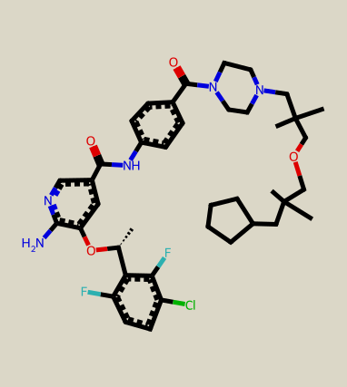 C[C@@H](Oc1cc(C(=O)Nc2ccc(C(=O)N3CCN(CC(C)(C)COCC(C)(C)CC4CCCC4)CC3)cc2)cnc1N)c1c(F)ccc(Cl)c1F